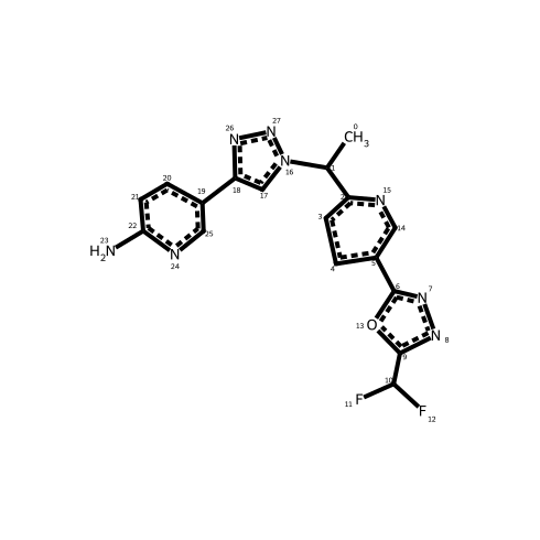 CC(c1ccc(-c2nnc(C(F)F)o2)cn1)n1cc(-c2ccc(N)nc2)nn1